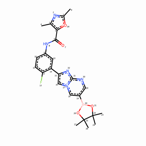 Cc1nc(C)c(C(=O)Nc2ccc(F)c(-c3cn4cc(B5OC(C)(C)C(C)(C)O5)cnc4n3)c2)o1